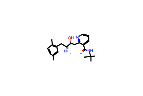 Cc1ccc(C)c(C[C@@H](N)[C@@H](O)Cc2ncccc2C(=O)NC(C)(C)C)c1